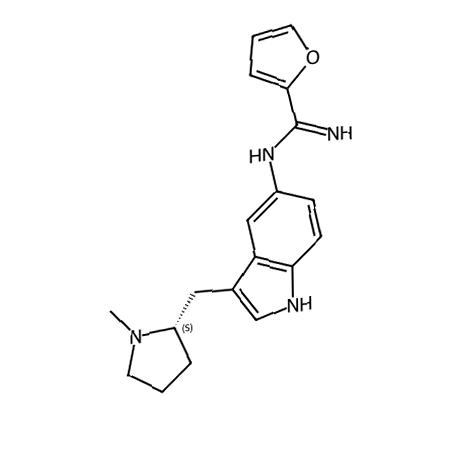 CN1CCC[C@H]1Cc1c[nH]c2ccc(NC(=N)c3ccco3)cc12